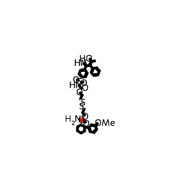 COc1cccc([C@@]2(OC(=O)OCCSSCCOC(=O)NS(=O)(=O)c3ccc(C(=N)/C(=C(/C)O)c4ccccc4)cc3)CCCC[C@@H]2CN)c1